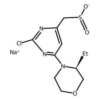 CC[C@H]1COCCN1c1cc(CS(=O)[O-])nc(Cl)n1.[Na+]